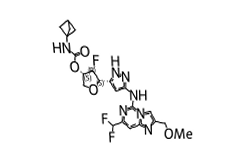 COCc1cn2c(Nc3cc([C@@H]4OC[C@H](OC(=O)NC56CC(C5)C6)[C@@H]4F)[nH]n3)nc(C(F)F)cc2n1